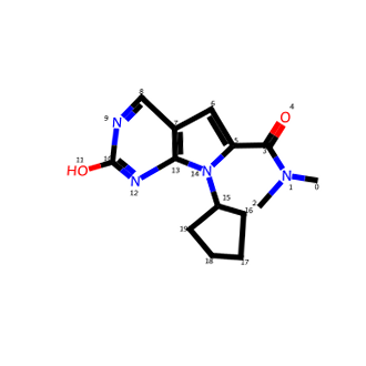 CN(C)C(=O)c1cc2cnc(O)nc2n1C1CCCC1